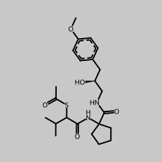 COc1ccc(C[C@H](O)CNC(=O)C2(NC(=O)C(SC(C)=O)C(C)C)CCCC2)cc1